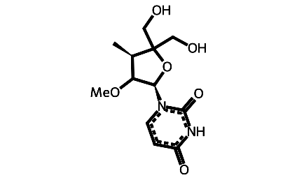 COC1[C@H](n2ccc(=O)[nH]c2=O)OC(CO)(CO)[C@@H]1C